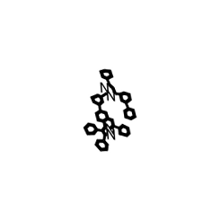 c1ccc(-c2cccc(-c3cc(-c4ccccc4)nc(-c4cccc(-c5ccc6c(c5)cc(-c5ccccc5)n5nc(-c7ccccc7)c(-c7ccccc7)c65)c4)n3)c2)cc1